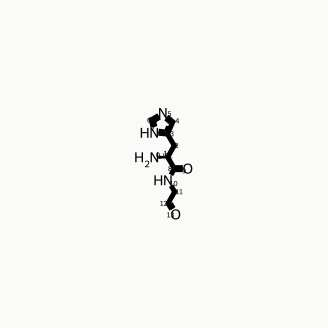 N[C@@H](Cc1cnc[nH]1)C(=O)NC[C]=O